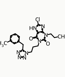 CCCn1c(=O)n(CCCn2nnnc2Cc2cccc(C)c2)c(=O)c2[nH]c(Cl)nc21